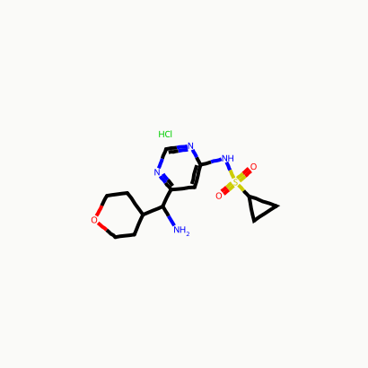 Cl.NC(c1cc(NS(=O)(=O)C2CC2)ncn1)C1CCOCC1